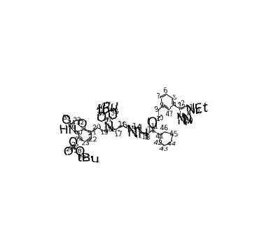 CCn1cc(-c2cccc(CCOC(CCNCCN(CCc3ccc(OC(=O)OC(C)(C)C)c4c3OCC(=O)N4)C(=O)OC(C)(C)C)C3CCCCC3)c2)nn1